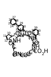 O=C1CCC(=O)N[C@H](CC2CC=CS2)C(=O)N[C@@H](Cc2ccc(-c3ccccc3)cc2)C(=O)N[C@H](Cc2ccccc2)C(=O)N[C@H](C(=O)O)CCCCN1